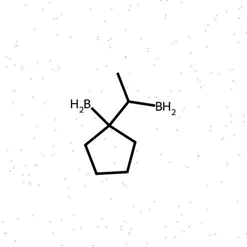 BC(C)C1(B)CCCC1